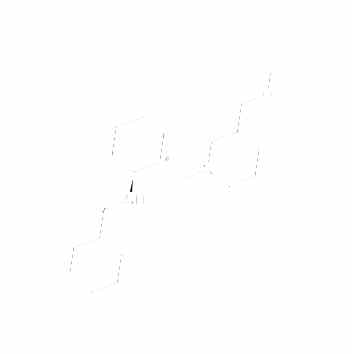 CCOCC1CCCN(C[C@H]2CCCC[C@@H]2NC(=O)C2CCCCC2)C1